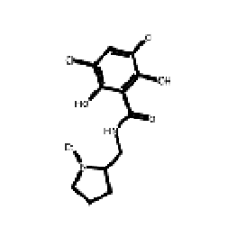 CCN1CCCC1CNC(=O)c1c(O)c(Cl)cc(Cl)c1O